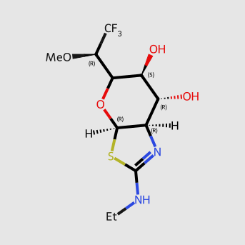 CCNC1=N[C@@H]2[C@@H](O)[C@H](O)C([C@@H](OC)C(F)(F)F)O[C@@H]2S1